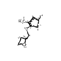 Cc1cc(I)ccc1OCC1CCO1